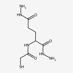 NNC(=O)CCC(NC(=O)CS)C(=O)NN